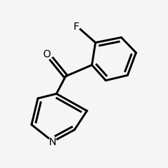 O=C(c1ccncc1)c1ccccc1F